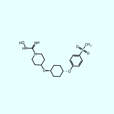 CS(=O)(=O)c1ccc(O[C@H]2CC[C@H](OC3CCN(C(=N)NO)CC3)CC2)cc1